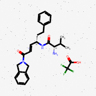 CC(C)[C@H](N)C(=O)N[C@H](/C=C/C(=O)N1Cc2ccccc2C1)CCc1ccccc1.O=C(O)C(F)(F)F